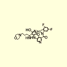 N=C(CCCN1CCOCC1)c1c(O)nsc1Nc1cncc(C(=O)N2CCc3c(F)cc(F)cc32)c1O